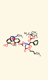 CCCCOC(=O)[C@H](CC(=O)OC1=CC[C@@]2(O)C3Cc4ccc(O)c5c4[C@@]2(CCN3C)[C@H]1O5)NC(=O)[C@@H](OC(=O)OC(C)(C)C)c1ccccc1